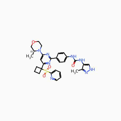 Cc1n[nH]cc1NC(=O)Nc1ccc(-c2nc(N3CCOC[C@@H]3C)cc(C3(S(=O)(=O)c4ccccn4)CCC3)n2)cc1